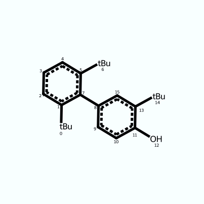 CC(C)(C)c1[c]ccc(C(C)(C)C)c1-c1ccc(O)c(C(C)(C)C)c1